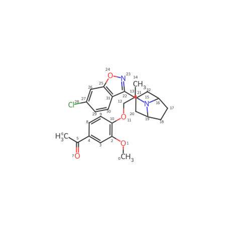 COc1cc(C(C)=O)ccc1OCC(C)N1C2CCC1CC(c1noc3cc(Cl)ccc13)C2